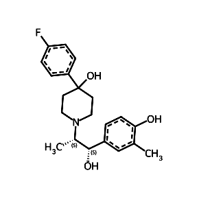 Cc1cc([C@H](O)[C@H](C)N2CCC(O)(c3ccc(F)cc3)CC2)ccc1O